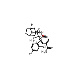 CC(C)(Oc1ccc(Cl)cc1Cl)C(=O)N1[C@@H]2CC[C@H]1C[C@@H](Nc1ccc(C(N)=O)cn1)C2